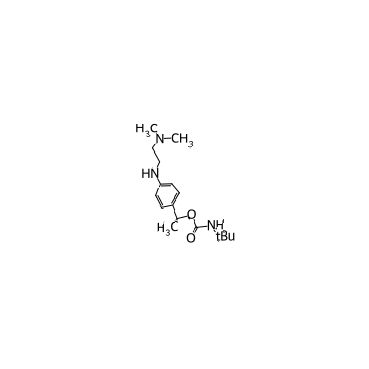 C[C@H](OC(=O)NC(C)(C)C)c1ccc(NCCN(C)C)cc1